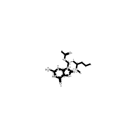 CCCC(C[C@@H](OC(C)=O)n1c(=O)sc2c(=O)[nH]c(N)nc21)OC